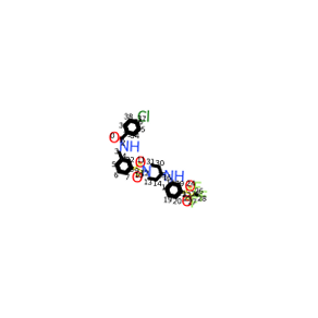 O=C(NCc1cccc(S(=O)(=O)N2CCC(Nc3cccc(S(=O)(=O)C(F)(F)F)c3)CC2)c1)c1ccc(Cl)cc1